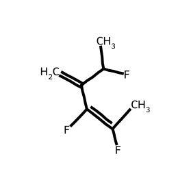 C=C(/C(F)=C(\C)F)C(C)F